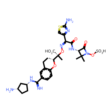 CC1(C)[C@H](NC(=O)/C(=N\O[C@](C)(C(=O)O)[C@H]2CCc3cc(C(=N)N[C@@H]4CC[C@H](N)C4)ccc3O2)c2csc(N)n2)C(=O)N1OS(=O)(=O)O